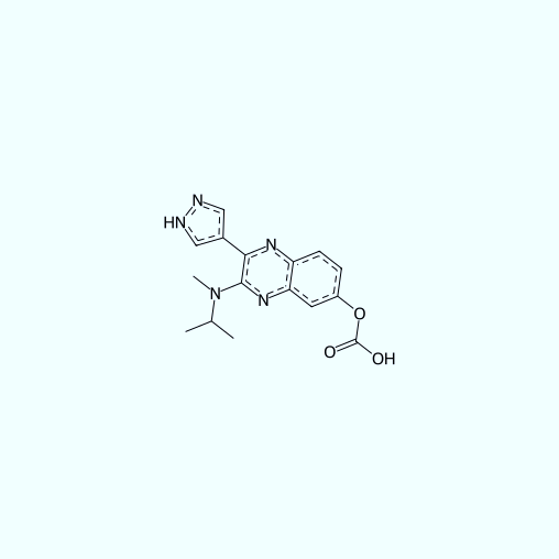 CC(C)N(C)c1nc2cc(OC(=O)O)ccc2nc1-c1cn[nH]c1